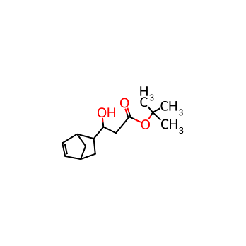 CC(C)(C)OC(=O)CC(O)C1CC2C=CC1C2